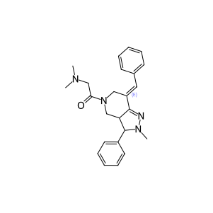 CN(C)CC(=O)N1C/C(=C\c2ccccc2)C2=NN(C)C(c3ccccc3)C2C1